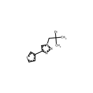 CCC(C)(C)Cn1cc(-c2ccsc2)nn1